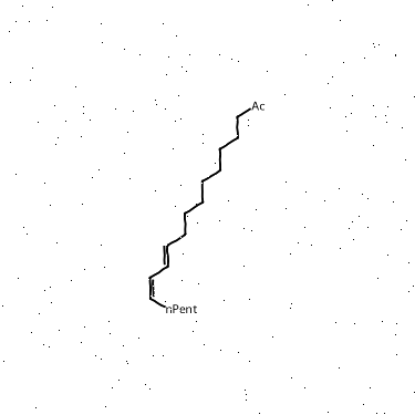 CCCCC/C=C\C=C\CCCCCCCCC(C)=O